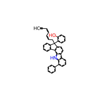 C#C/C=C\C=C/CC1(c2ccccc2O)c2ccccc2-c2c1ccc1c2[nH]c2c(-c3ccccc3)cccc21